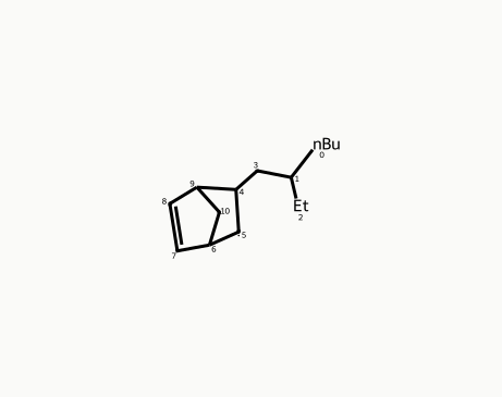 CCCCC(CC)CC1[CH]C2C=CC1C2